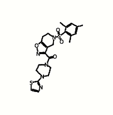 Cc1cc(C)c(S(=O)(=O)N2CCc3onc(C(=O)N4CCN(c5nccs5)CC4)c3C2)c(C)c1